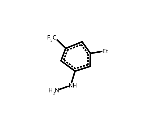 CCc1cc(NN)cc(C(F)(F)F)c1